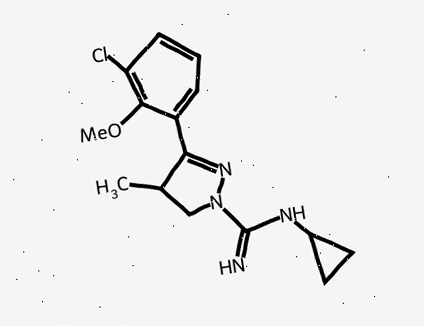 COc1c(Cl)cccc1C1=NN(C(=N)NC2CC2)CC1C